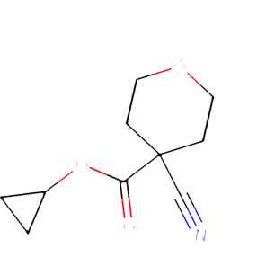 N#CC1(C(=O)OC2CC2)CCOCC1